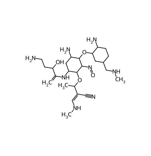 C=C(NC1CC(N)C(OC2CC(CNC)CCC2N)C(N=O)C1OC(C)/C(C#N)=C/NC)C(O)CCN